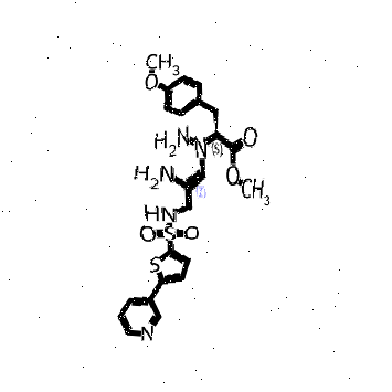 COC(=O)[C@H](Cc1ccc(OC)cc1)N(N)/C=C(\N)CNS(=O)(=O)c1ccc(-c2cccnc2)s1